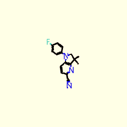 CC1(C)CN(c2ccc(F)cc2)c2ccc(C#N)nc21